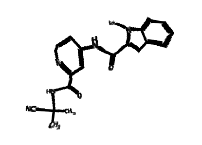 CCn1c(C(=O)Nc2ccnc(C(=O)NC(C)(C)C#N)c2)cc2ccccc21